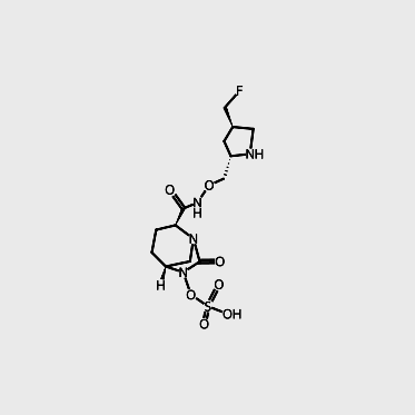 O=C(NOC[C@@H]1C[C@@H](CF)CN1)[C@@H]1CC[C@@H]2CN1C(=O)N2OS(=O)(=O)O